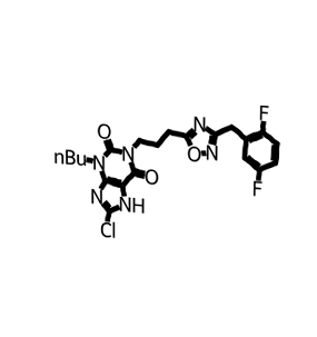 CCCCn1c(=O)n(CCCc2nc(Cc3cc(F)ccc3F)no2)c(=O)c2[nH]c(Cl)nc21